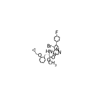 COC(=O)[C@H](Cc1ccccc1OCC1CC1)Nc1ncnn2cc(-c3ccc(F)cc3)c(Br)c12